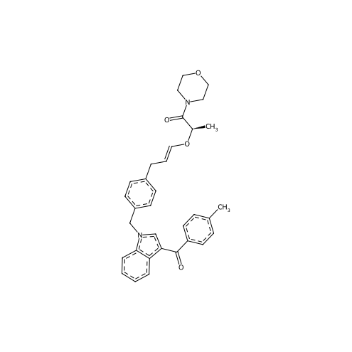 Cc1ccc(C(=O)c2cn(Cc3ccc(C/C=C/O[C@H](C)C(=O)N4CCOCC4)cc3)c3ccccc23)cc1